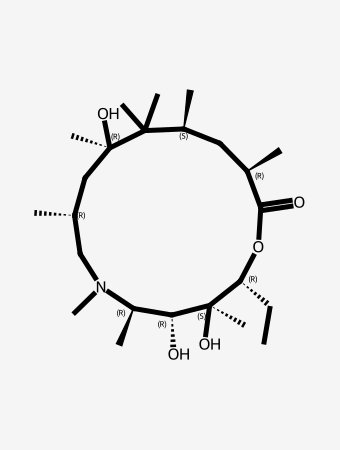 CC[C@H]1OC(=O)[C@H](C)C[C@H](C)C(C)(C)[C@](C)(O)C[C@@H](C)CN(C)[C@H](C)[C@@H](O)[C@]1(C)O